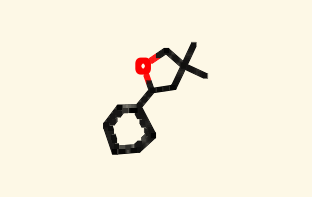 CC1(C)COC(c2ccccc2)C1